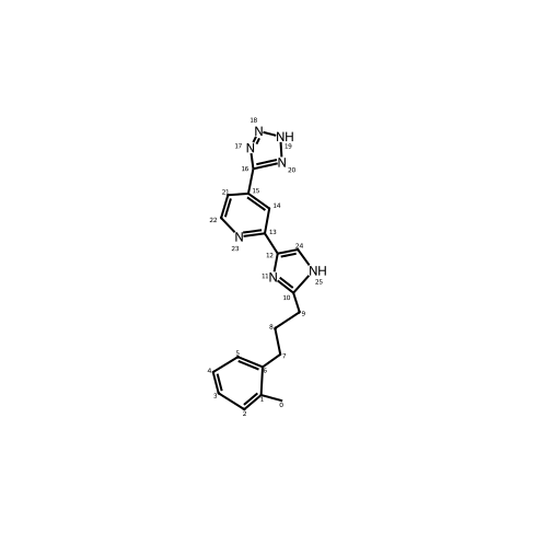 Cc1ccccc1CCCc1nc(-c2cc(-c3nn[nH]n3)ccn2)c[nH]1